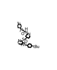 CN1CCC(N(C)CC(=O)Nc2cc(CSc3ncccc3C(=O)Nc3ccc(C(C)(C)C)cc3)ccn2)CC1